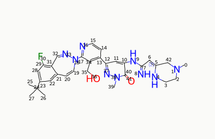 CN1CCN/C(=C\C(=N)Nc2cc(-c3ccnc(N4C=Cc5cc(C(C)(C)C)cc(F)c5C=N4)c3CO)nn(C)c2=O)C1